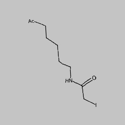 CC(=O)CCCCCNC(=O)CI